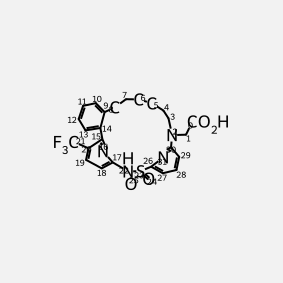 O=C(O)CN1CCCCCCc2ccccc2-c2nc(ccc2C(F)(F)F)NS(=O)(=O)c2cccc1n2